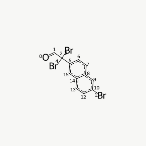 O=CC(Br)(Br)c1ccc2cc(Br)ccc2c1